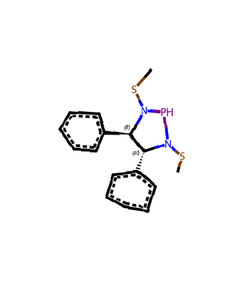 CSN1PN(SC)[C@H](c2ccccc2)[C@H]1c1ccccc1